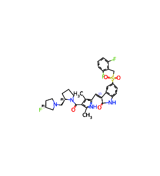 Cc1[nH]c(/C=C2\C(=O)Nc3ccc(S(=O)(=O)Cc4c(F)cccc4F)cc32)c(C)c1C(=O)N1CCC[C@@H]1CN1CC[C@@H](F)C1